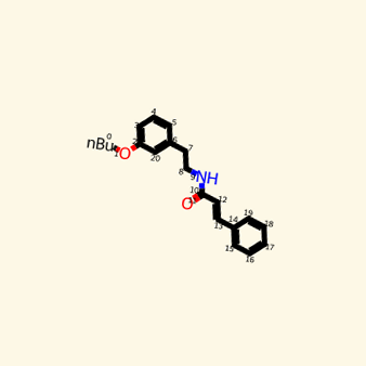 CCCCOc1cccc(CCNC(=O)C=Cc2ccccc2)c1